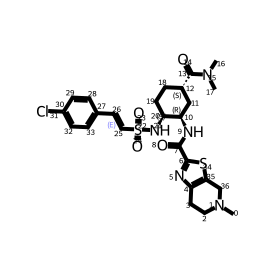 CN1CCc2nc(C(=O)N[C@@H]3C[C@@H](C(=O)N(C)C)CC[C@@H]3NS(=O)(=O)/C=C/c3ccc(Cl)cc3)sc2C1